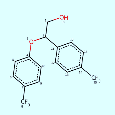 OCC(Oc1ccc(C(F)(F)F)cc1)c1ccc(C(F)(F)F)cc1